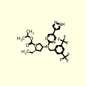 CC[C@@H]1C[C@H](N(Cc2cc(C(F)(F)F)cc(C(F)(F)F)c2)c2ncc(-c3cn[nH]c3)cn2)CN1C(=O)OC(C)C